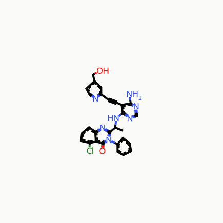 CC(Nc1ncnc(N)c1C#Cc1cc(CO)ccn1)c1nc2cccc(Cl)c2c(=O)n1-c1ccccc1